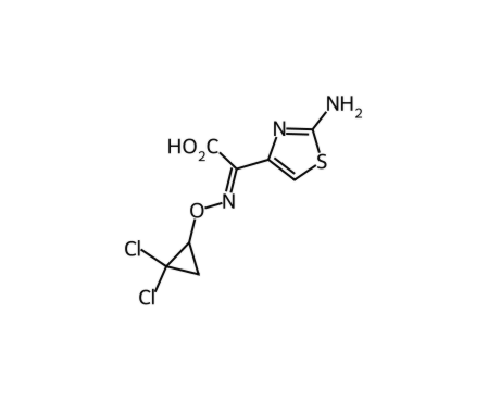 Nc1nc(C(=NOC2CC2(Cl)Cl)C(=O)O)cs1